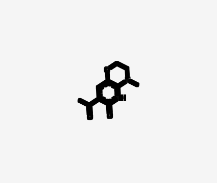 CC(=O)c1cc2c([nH]c1=O)N(C)CCO2